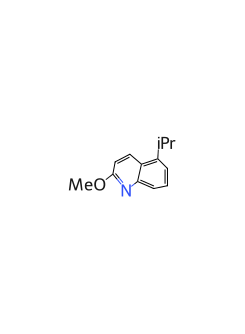 COc1ccc2c(C(C)C)cccc2n1